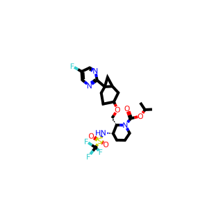 CC(C)OC(=O)N1CCC[C@H](NS(=O)(=O)C(F)(F)F)[C@@H]1COC1CCC2(c3ncc(F)cn3)CC2C1